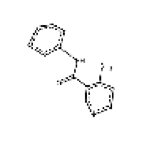 Nc1ccncc1C(=O)Nc1ccccc1